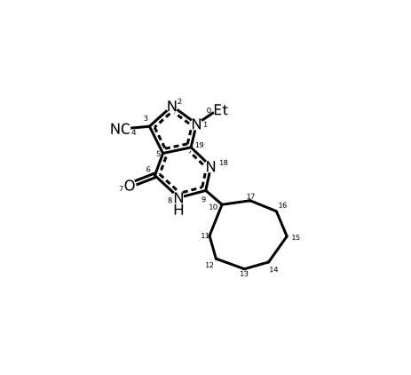 CCn1nc(C#N)c2c(=O)[nH]c(C3CCCCCCC3)nc21